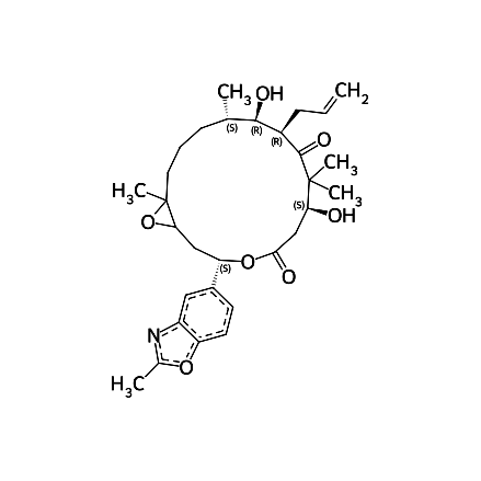 C=CC[C@H]1C(=O)C(C)(C)[C@@H](O)CC(=O)O[C@H](c2ccc3oc(C)nc3c2)CC2OC2(C)CCC[C@H](C)[C@H]1O